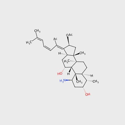 CC(=O)O[C@H]1C[C@@]2(C)[C@@H](C[C@@H](O)[C@H]3[C@@]4(C)[C@H](N)C[C@@H](O)[C@@H](C)[C@@H]4CC[C@@]32C)/C1=C(\C=C/C=C(C)C)C(C)=O